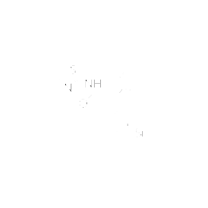 C[C@@]1(C(=O)Nc2nccs2)Cc2ccc([Si](C)(C)C)cc2[C@@H]1c1ccccc1